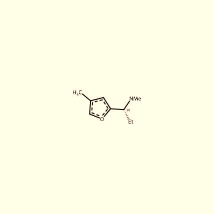 CC[C@@H](NC)c1cc(C)co1